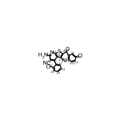 N#Cc1c(N)nc2sc(C(=O)c3cccc(Cl)c3)c(N)c2c1-c1ccccc1Cl